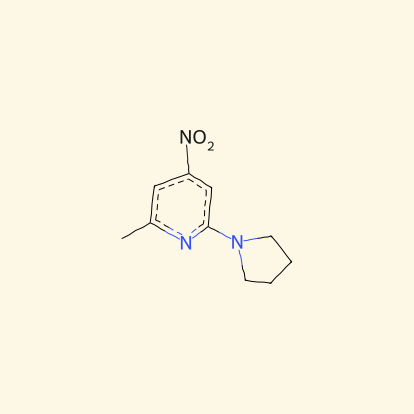 Cc1cc([N+](=O)[O-])cc(N2CCCC2)n1